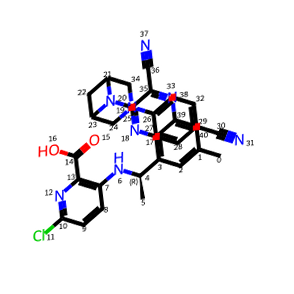 Cc1cc([C@@H](C)Nc2ccc(Cl)nc2C(=O)O)c2nc(N3C4CC3CN(c3ccc(C#N)cc3)C4)c(C#N)nc2c1